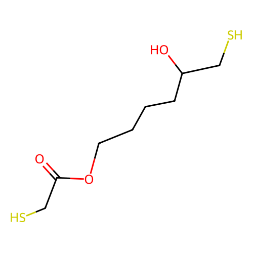 O=C(CS)OCCCCC(O)CS